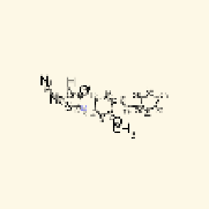 COc1cc(/C=C2/SC(=NC#N)NC2=O)ccc1C=Cc1ccccc1